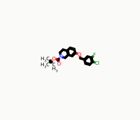 CC(C)(C)OC(=O)N1CCc2ccc(OCc3ccc(Cl)c(F)c3)cc2C1